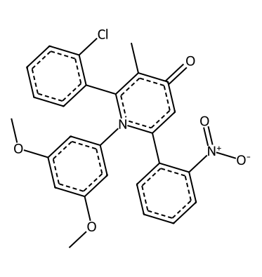 COc1cc(OC)cc(-n2c(-c3ccccc3[N+](=O)[O-])cc(=O)c(C)c2-c2ccccc2Cl)c1